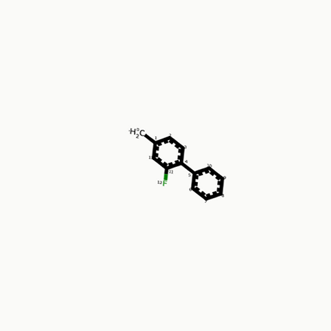 [CH2]c1ccc(-c2ccccc2)c(F)c1